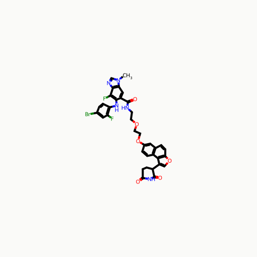 Cn1cnc2c(F)c(Nc3ccc(Br)cc3F)c(C(=O)NCCOCCOc3ccc4c(ccc5occ(C6CCC(=O)NC6=O)c54)c3)cc21